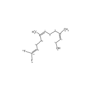 CC(=CCO)CCC=C(C)CCC=C(F)F